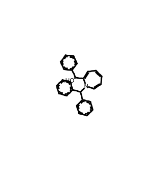 OC(C1=CC=CC=CN1C(c1ccccc1)c1ccccc1)c1ccccc1